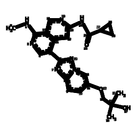 CNc1ncc(-c2nc3ccc(OCC(C)(C)O)cn3n2)c2cc(NC(=O)C3CC3)ncc12